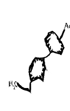 C=Cc1ccc(-c2ccc(C(C)=O)cc2)cc1